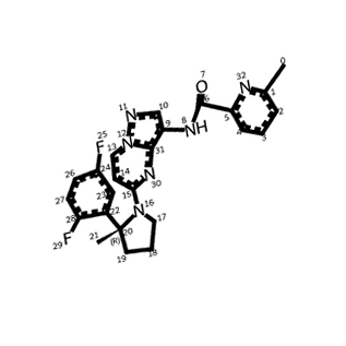 Cc1cccc(C(=O)Nc2cnn3ccc(N4CCC[C@]4(C)c4cc(F)ccc4F)nc23)n1